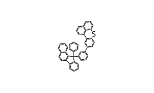 c1ccc(C2(c3cccc(-c4ccc5c(c4)-c4cccc6cccc(c46)S5)c3)c3ccccc3-c3ccc4ccccc4c32)cc1